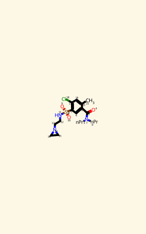 CCCN(CCC)C(=O)c1cc(S(=O)(=O)NCCN2CC2)c(Cl)cc1C